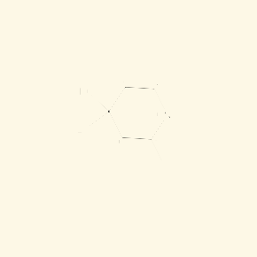 CCC1(CC)CCNC(C(C)(C)C)C1